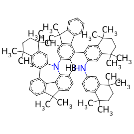 CC1(C)CCC(C)(C)c2cc(Nc3cc4c(cc3-c3c5c(cc6c3-c3ccccc3C6(C)C)N3c6cc7c(cc6-c6cccc8c6-c6c(ccc(c63)B5)C8(C)C)C(C)(C)CCC7(C)C)C(C)(C)CCC4(C)C)ccc21